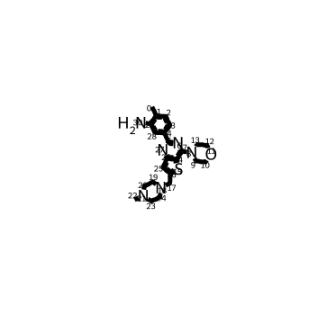 Cc1ccc(-c2nc(N3CCOCC3)c3sc(CN4CCN(C)CC4)cc3n2)cc1N